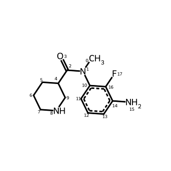 CN(C(=O)C1CCCNC1)c1cccc(N)c1F